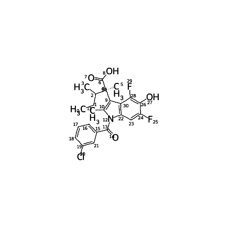 CCC(C)[C@@](C)(C(=O)O)c1c(C)n(C(=O)c2cccc(Cl)c2)c2cc(F)c(O)c(F)c12